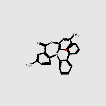 Cc1ccc2c(c1)OC(=O)c1cc(C)ccc1N2c1ccccc1-c1ccccc1